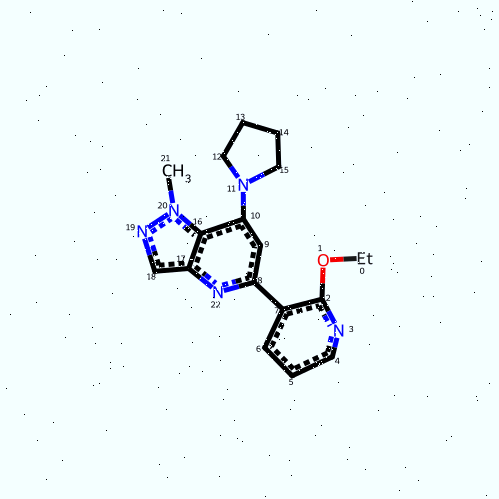 CCOc1ncccc1-c1cc(N2CCCC2)c2c(cnn2C)n1